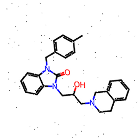 Cc1ccc(Cn2c(=O)n(CC(O)CN3CCc4ccccc4C3)c3ccccc32)cc1